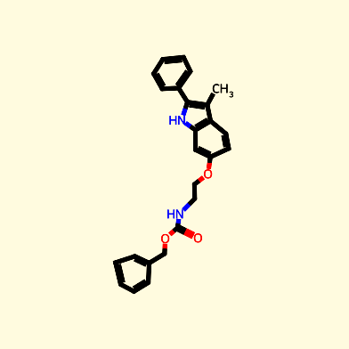 Cc1c(-c2ccccc2)[nH]c2cc(OCCNC(=O)OCc3ccccc3)ccc12